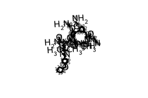 Cc1nc(-c2ccc(OC3CCCCC3)cc2)nc(C)c1C(=O)N[C@@H](CNC(N)=O)C(=O)N(C)[C@@H]1C(=O)N[C@@H](C)C(=O)N[C@H](C(=O)NCC#N)Cc2ccc(OCCN)c(c2)-c2cc1ccc2OCCN